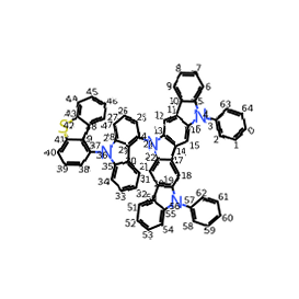 c1ccc(-n2c3ccccc3c3cc4c(cc32)c2cc3c(cc2n4-c2cccc4c2c2ccccc2n4-c2cccc4sc5ccccc5c24)c2ccccc2n3-c2ccccc2)cc1